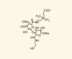 COC1OC(C(=O)NCCS)[C@@H](OC2OC(C(=O)NCC[N+](C)(C)CCC(=O)[O-])[C@@H](OC)[C@H](O)[C@H]2O)[C@H](O)[C@H]1O